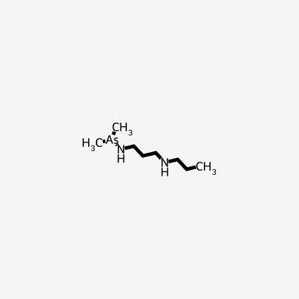 CCCNCCCN[As](C)C